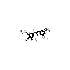 CCOc1nc(NC(=O)Cc2cc(C)cc(C)c2)cc(N)c1C#N